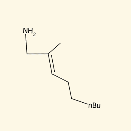 CCCCCC/C=C(\C)CN